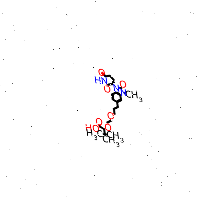 Cn1c(=O)n(C2CCC(=O)NC2=O)c2ccc(CCCOCCOC(C(=O)O)C(C)(C)C)cc21